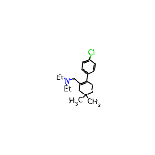 CCN(CC)CC1=C(c2ccc(Cl)cc2)CCC(C)(C)C1